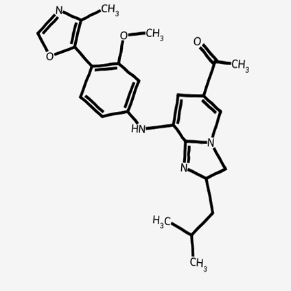 COc1cc(NC2=CC(C(C)=O)=CN3CC(CC(C)C)N=C23)ccc1-c1ocnc1C